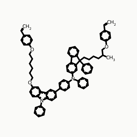 C=Cc1ccc(OCCCCCCOc2ccc3c(c2)c2cc(-c4ccc(N(c5ccccc5)c5ccc6c(c5)C(CCCCC(C)COc5ccc(C=C)cc5)(c5ccccc5)c5ccccc5-6)cc4)ccc2n3-c2ccccc2)cc1